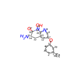 CCc1cccc(Oc2cnc3c(c2)C[C@H](N)C(=O)N3O)c1